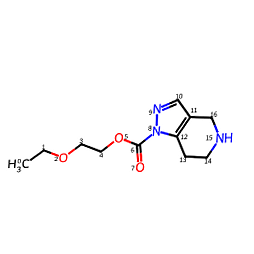 CCOCCOC(=O)n1ncc2c1CCNC2